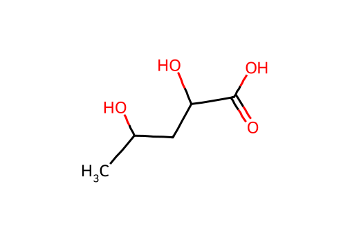 CC(O)CC(O)C(=O)O